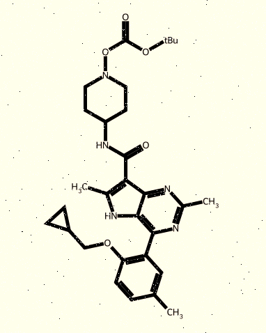 Cc1ccc(OCC2CC2)c(-c2nc(C)nc3c(C(=O)NC4CCN(OC(=O)OC(C)(C)C)CC4)c(C)[nH]c23)c1